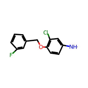 [NH]c1ccc(OCc2cccc(F)c2)c(Cl)c1